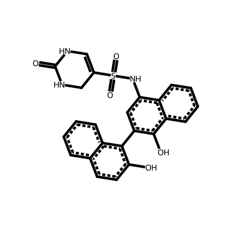 O=C1NC=C(S(=O)(=O)Nc2cc(-c3c(O)ccc4ccccc34)c(O)c3ccccc23)CN1